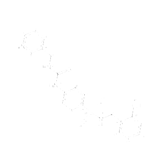 O=C(NCc1cccnc1)Nc1ccc(S(=O)(=O)NCc2ccccc2O)cc1